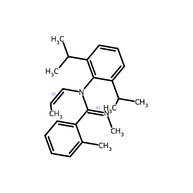 C/C=C\N(/C(=N/C)c1ccccc1C)c1c(C(C)C)cccc1C(C)C